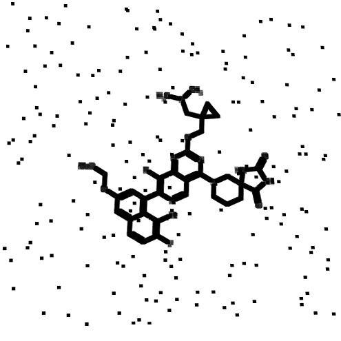 CCc1c(F)ccc2cc(OCOC)cc(-c3ncc4c(N5CCCC6(C5)NC(=O)NC6=O)nc(OCC5(CN(C)C)CC5)nc4c3F)c12